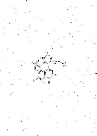 Cn1cc(-c2c(OCC3CC3)cc(=O)[nH]c2CS(C)(=O)=O)c2ccc(F)cc2c1=O